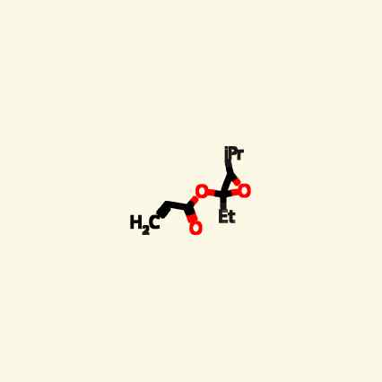 C=CC(=O)OC1(CC)OC1C(C)C